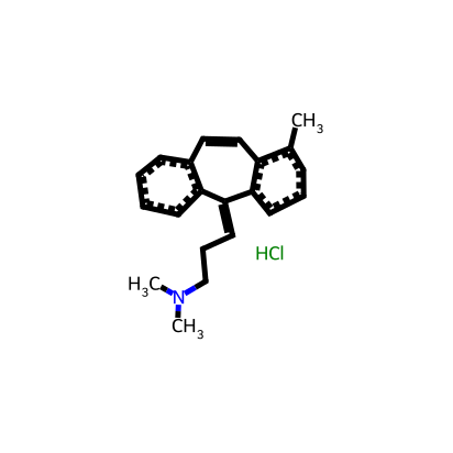 Cc1cccc2c1C=Cc1ccccc1C2=CCCN(C)C.Cl